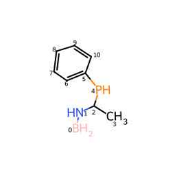 BNC(C)Pc1ccccc1